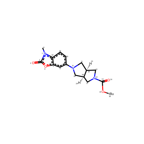 Cn1c(=O)oc2cc(N3C[C@H]4CN(C(=O)OC(C)(C)C)C[C@H]4C3)ccc21